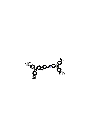 C[Si](C)(C)c1ccc(N(c2ccc(C#N)cc2)c2ccc(/C=C/c3ccc4c(c3)Cc3cc(N(c5ccc(C#N)cc5)c5ccc([Si](C)(C)C)cc5)ccc3-4)cc2)cc1